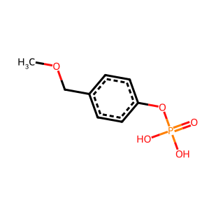 COCc1ccc(OP(=O)(O)O)cc1